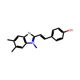 Cc1cc2[te]c(/C=C/c3ccc(O)cc3)[n+](C)c2cc1C